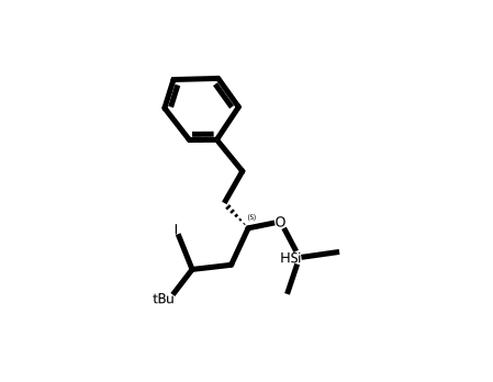 C[SiH](C)O[C@@H](CCc1ccccc1)CC(I)C(C)(C)C